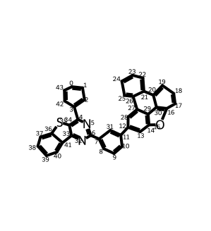 c1ccc(-c2nc(-c3cccc(-c4cc5oc6cccc7c8ccccc8c(c4)c5c67)c3)nc3c2sc2ccccc23)cc1